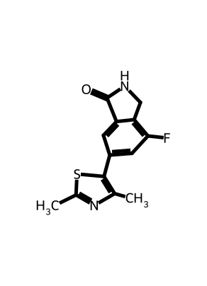 Cc1nc(C)c(-c2cc(F)c3c(c2)C(=O)NC3)s1